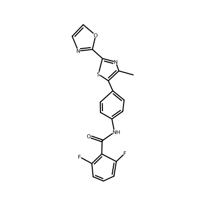 Cc1nc(-c2ncco2)sc1-c1ccc(NC(=O)c2c(F)cccc2F)cc1